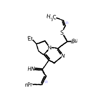 C/C=C\SC(C1=NCC(C(=N)/C=C\CCC)=C2CC(CC)CN12)C(C)CC